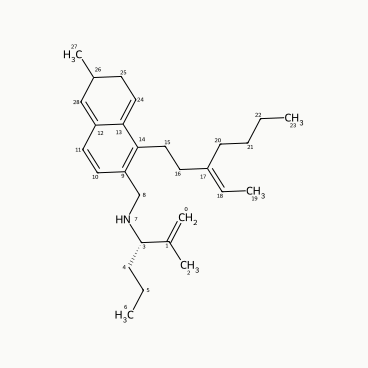 C=C(C)[C@H](CCC)NCc1ccc2c(c1CC/C(=C/C)CCCC)=CCC(C)C=2